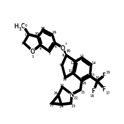 CC1COc2cc(O[C@@H]3CCc4c3ccc(C(F)(F)F)c4CN3CC4CC4C3)ccc21